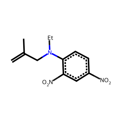 C=C(C)CN(CC)c1ccc([N+](=O)[O-])cc1[N+](=O)[O-]